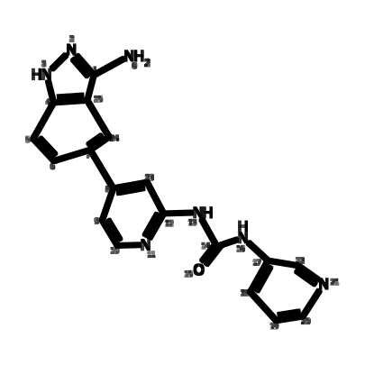 Nc1n[nH]c2ccc(-c3ccnc(NC(=O)Nc4cccnc4)c3)cc12